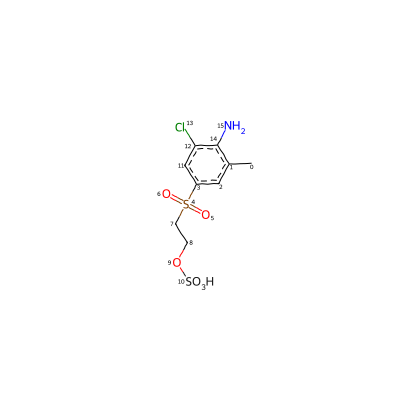 Cc1cc(S(=O)(=O)CCOS(=O)(=O)O)cc(Cl)c1N